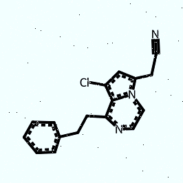 N#CCc1cc(Cl)c2c(CCc3ccccc3)nccn12